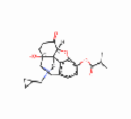 CC(C)C(=O)Oc1ccc2c3c1O[C@H]1C(=O)CC[C@@]4(O)C(C2)N(CC2CC2)CCC314